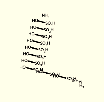 N.N.N.O=S(=O)(O)O.O=S(=O)(O)O.O=S(=O)(O)O.O=S(=O)(O)O.O=S(=O)(O)O.O=S(=O)(O)O.O=S(=O)(O)O.O=S(=O)(O)O.O=S(=O)(O)O.O=S(=O)(O)O